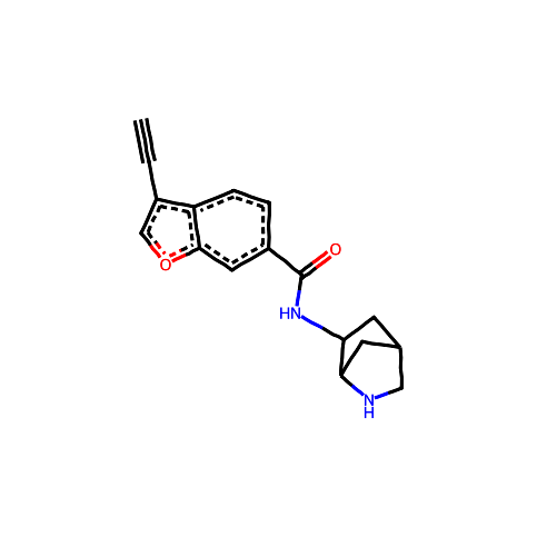 C#Cc1coc2cc(C(=O)NC3CC4CNC3C4)ccc12